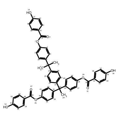 CC(C)(c1ccc(OC(=O)c2ccc(O)cc2)cc1)c1ccc(C(C)(c2ccc(OC(=O)c3ccc(O)cc3)cc2)c2ccc(OC(=O)c3ccc(O)cc3)cc2)cc1